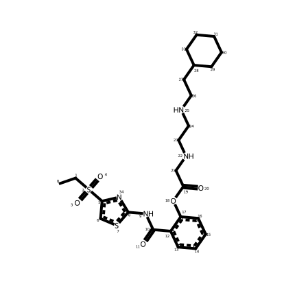 CCS(=O)(=O)c1csc(NC(=O)c2ccccc2OC(=O)CNCCNCCC2CCCCC2)n1